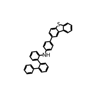 c1ccc(-c2ccccc2-c2ccccc2Nc2ccc(-c3ccc4sc5ccccc5c4c3)cc2)cc1